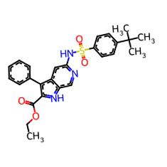 CCOC(=O)c1[nH]c2cnc(NS(=O)(=O)c3ccc(C(C)(C)C)cc3)cc2c1-c1ccccc1